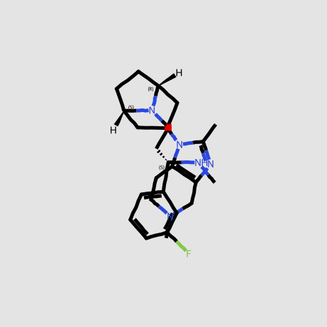 CN[C@@H](CCN1[C@@H]2CC[C@H]1CC(n1c(C)nc3c1CCN(C)C3)C2)c1cccc(F)c1